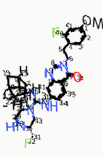 COc1ccc(CCn2cnc3cc(NC(=N[C@H]4C[C@H]5C[C@@H]([C@@H]4C)C5(C)C)N4CCN[C@@H](CF)C4)ccc3c2=O)c(F)c1